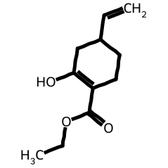 C=CC1CCC(C(=O)OCC)=C(O)C1